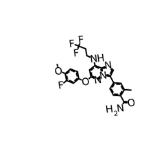 COc1ccc(Oc2cc(NCCC(F)(F)F)c3ncc(-c4ccc(C(N)=O)c(C)c4)n3n2)cc1F